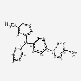 Cc1cccc(N(c2ccccc2)c2ccc(-c3ccc(O)cc3)cc2)c1